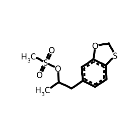 CC(Cc1ccc2c(c1)OCS2)OS(C)(=O)=O